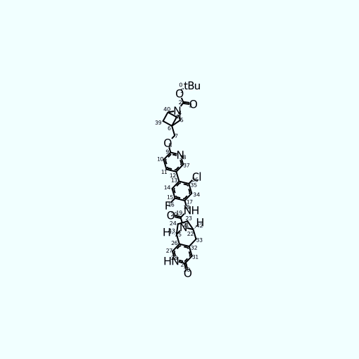 CC(C)(C)OC(=O)N1CC2(COc3ccc(-c4cc(F)c(NC(=O)N5[C@H]6CC[C@@H]5c5c[nH]c(=O)cc5C6)cc4Cl)cn3)CC1C2